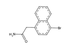 NC(=O)Cc1ccc(Br)c2ccccc12